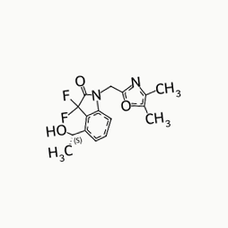 Cc1nc(CN2C(=O)C(F)(F)c3c([C@H](C)O)cccc32)oc1C